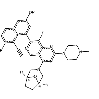 C#Cc1c(F)ccc2cc(O)cc(-c3ncc4c(N5C[C@H]6CC[C@@H](C5)O6)nc(N5CCN(C)CC5)nc4c3F)c12